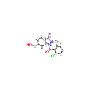 Cc1cccc(Cl)c1C(=O)n1nc(I)c2ccc(CO)cc21